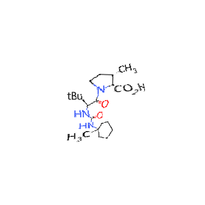 C[C@H]1CCN(C(=O)[C@@H](NC(=O)NC2(C)CCCCC2)C(C)(C)C)[C@@H]1C(=O)O